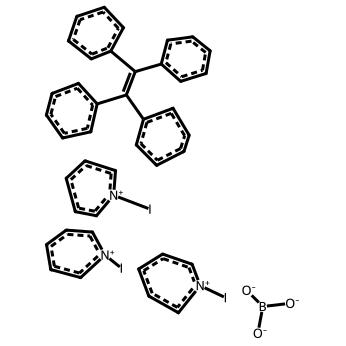 I[n+]1ccccc1.I[n+]1ccccc1.I[n+]1ccccc1.[O-]B([O-])[O-].c1ccc(C(=C(c2ccccc2)c2ccccc2)c2ccccc2)cc1